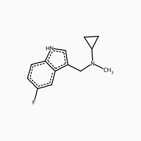 CN(Cc1c[nH]c2ccc(F)cc12)C1CC1